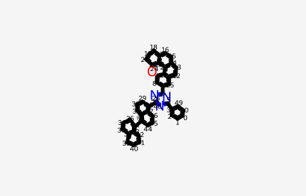 c1ccc(-c2nc(-c3cc4c5c(ccc6ccc7cccc(c7c65)O4)c3)nc(-c3cccc4c(-c5cccc6ccccc56)cccc34)n2)cc1